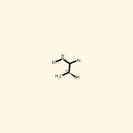 CCNC(C(C)=O)[C@H](C)C(C)C